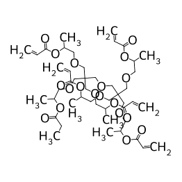 C=CC(=O)OC(C)COCC(COCC(C)OC(=O)C=C)(COCC(C)OC(=O)C=C)COCC(COCC(C)OC(=O)C=C)(COCC(C)OC(=O)C=C)COCC(C)OC(=O)CC